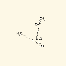 CCCCCCCC[C@H]1CC(=CO)C(=O)[C@@H]1CCCCC=CC(=O)OCC